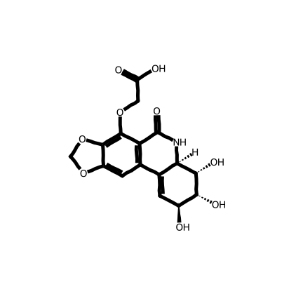 O=C(O)COc1c2c(cc3c1C(=O)N[C@@H]1C3=C[C@H](O)[C@@H](O)[C@H]1O)OCO2